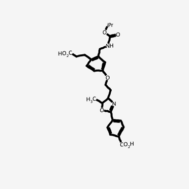 CC(C)OC(=O)NCc1cc(OCCC2N=C(c3ccc(C(=O)O)cc3)OC2C)ccc1CCC(=O)O